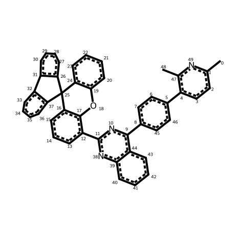 Cc1ccc(-c2ccc(-c3nc(-c4cccc5c4Oc4ccccc4C54c5ccccc5-c5ccccc54)nc4ccccc34)cc2)c(C)n1